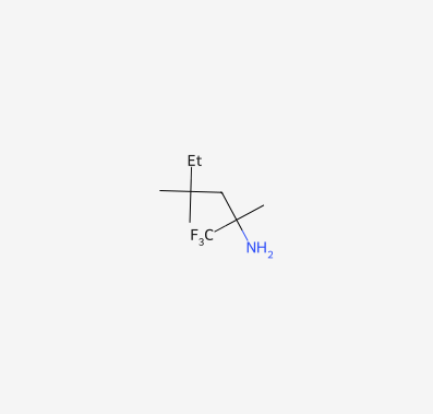 CCC(C)(C)CC(C)(N)C(F)(F)F